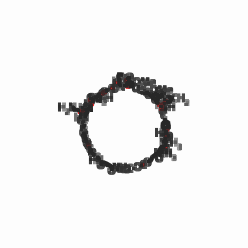 C=C1CC2[C@@H](O)N3C(=O)OCc4ccc(cc4)NC(=O)[C@H](C)NC(=O)[C@H](C)NC(=O)CCOCCOCCOCCNC(=O)/C=C\C(=O)NCCOCCOCCOCCC(=O)N[C@@H](CCCCN)C(=O)N[C@@H](CC(=O)O)C(=O)Nc4ccc(cc4)COC(=O)N4C[C@@H]5CCCN5C(=O)c5cc(OC)c(cc54)OCCCOc4cc3c(cc4OC)C(=O)N2C1